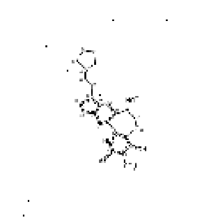 Cl.O=C(O)c1c(O)c2c([nH]c1=O)-c1cc3ccn(CCN4CCCC4)c3cc1CCO2